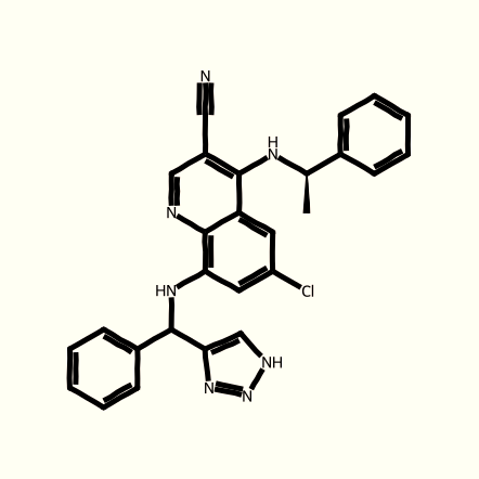 C[C@@H](Nc1c(C#N)cnc2c(NC(c3ccccc3)c3c[nH]nn3)cc(Cl)cc12)c1ccccc1